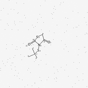 CC(C)(C)SN1C(=O)CSC1=O